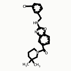 CC1(C)CCCN(C(=O)c2ccc3oc(NCc4cccc(Cl)c4)nc3c2)C1